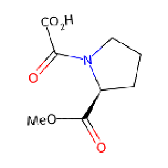 COC(=O)[C@@H]1CCCN1C(=O)C(=O)O